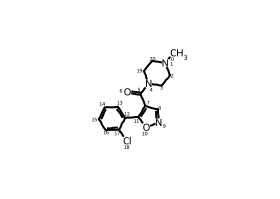 CN1CCN(C(=O)c2cnoc2-c2ccccc2Cl)CC1